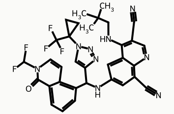 CC(C)(C)CNc1c(C#N)cnc2c(C#N)cc(NC(c3cn(C4(C(F)(F)F)CC4)nn3)c3cccc4c(=O)n(C(F)F)ccc34)cc12